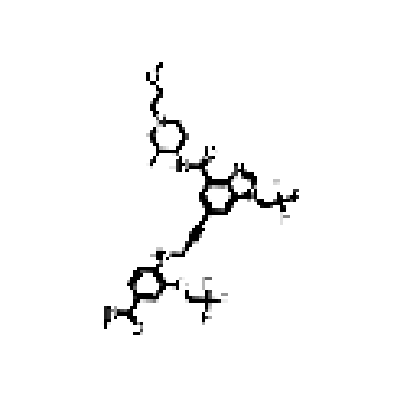 CNC(=O)c1ccc(NCC#Cc2cc(C(=O)N[C@H]3CCN(CCOC)C[C@@H]3C)c3ncn(CC(F)(F)F)c3c2)c(OCC(F)(F)F)c1